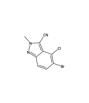 Cn1nc2ccc(Br)c(Cl)c2c1C#N